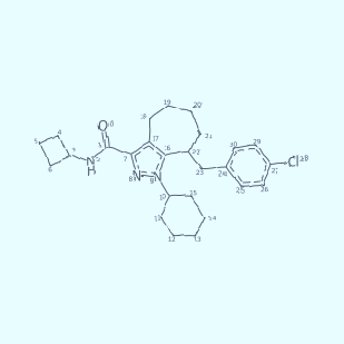 O=C(NC1CCC1)c1nn(C2CCCCC2)c2c1CCCCC2Cc1ccc(Cl)cc1